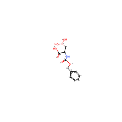 O=C(NC(CB(O)O)C(=O)O)OCc1ccccc1